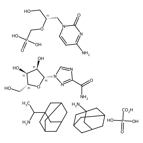 CC(N)C12CC3CC(CC(C3)C1)C2.NC(=O)c1ncn([C@@H]2O[C@H](CO)[C@@H](O)[C@H]2O)n1.NC12CC3CC(CC(C3)C1)C2.Nc1ccn(C[C@@H](CO)OCP(=O)(O)O)c(=O)n1.O=C(O)P(=O)(O)O